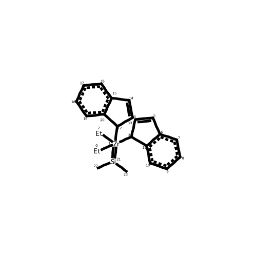 C[CH2][Zr]([CH2]C)([CH]1C=Cc2ccccc21)([CH]1C=Cc2ccccc21)=[Si](C)C